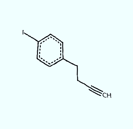 C#CCCc1ccc(I)cc1